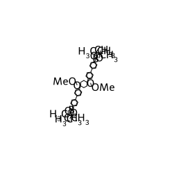 COCOC1(c2ccc(-c3ccc(B4OC(C)(C)C(C)(C)O4)cc3)cc2)CCC(OCOC)(c2ccc(-c3ccc(B4OC(C)(C)C(C)(C)O4)cc3)cc2)CC1